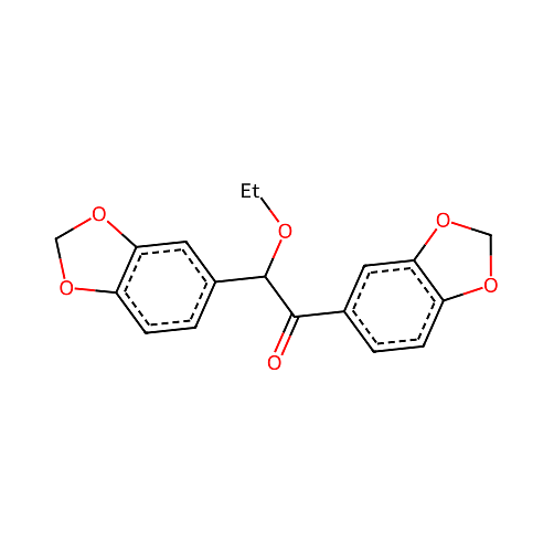 CCOC(C(=O)c1ccc2c(c1)OCO2)c1ccc2c(c1)OCO2